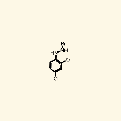 Clc1ccc(NNBr)c(Br)c1